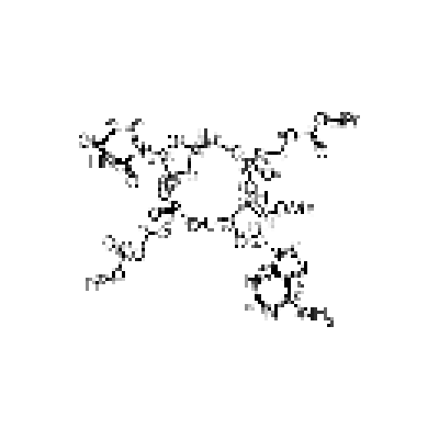 CO[C@@H]1[C@@H]2OP(=O)(SCOC(=O)OC(C)C)OC[C@@H]3C[C@@H](OP(=O)(SCOC(=O)OC(C)C)OCC2O[C@H]1n1cnc2c(N)ncnc21)[C@H](n1ccc(=O)[nH]c1=O)O3